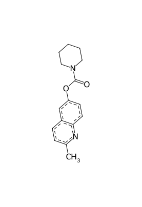 Cc1ccc2cc(OC(=O)N3CCCCC3)ccc2n1